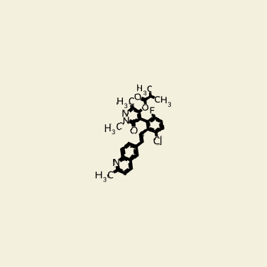 Cc1ccc2cc(/C=C/c3c(Cl)ccc(F)c3-c3c(OC(=O)C(C)C)c(C)nn(C)c3=O)ccc2n1